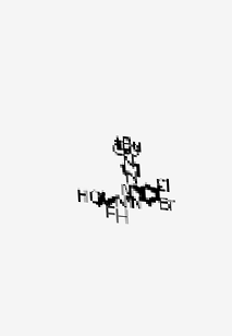 CC(C)(C)OC(=O)N1CCN(c2nc(NCC(F)C(C)(C)O)nc3cc(Br)c(Cl)cc23)CC1